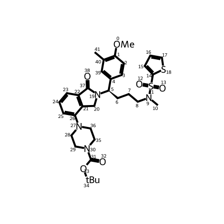 COc1ccc([C@@H](CCCN(C)S(=O)(=O)c2cccs2)N2Cc3c(cccc3N3CCN(C(=O)OC(C)(C)C)CC3)C2=O)cc1C